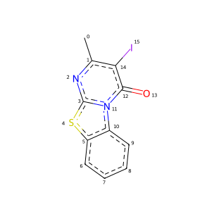 Cc1nc2sc3ccccc3n2c(=O)c1I